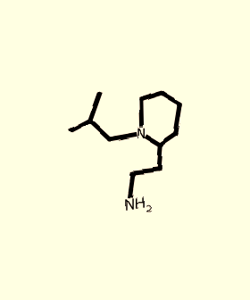 CC(C)CN1CCCCC1CCN